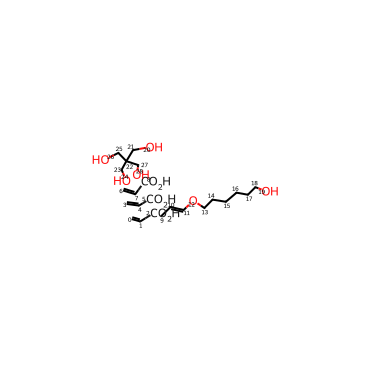 C=CC(=O)O.C=CC(=O)O.C=CC(=O)O.CC=COCCCCCCO.OCC(CO)(CO)CO